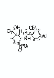 CC(Nc1cc(C(=O)O)ccc1[N+](=O)[O-])c1ccc(Cl)cc1Cl